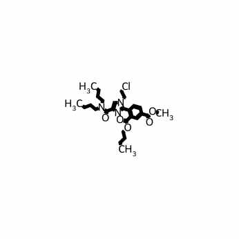 CCCCOC(=O)c1cc(C(=O)OC)ccc1-c1nc(C(=O)N(CCCC)CCCC)cn1CCCl